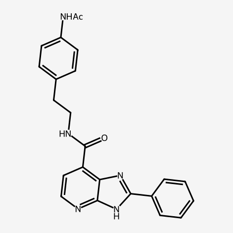 CC(=O)Nc1ccc(CCNC(=O)c2ccnc3[nH]c(-c4ccccc4)nc23)cc1